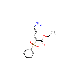 CCOC(=O)C(=CC=CN)S(=O)(=O)c1ccccc1